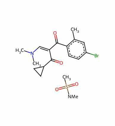 CNS(C)(=O)=O.Cc1cc(Br)ccc1C(=O)C(=CN(C)C)C(=O)C1CC1